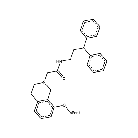 CCCCCOc1cccc2c1CN(CC(=O)NCCC(c1ccccc1)c1ccccc1)CC2